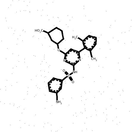 Cc1cccc(C)c1-c1cc(OC2CCCC(C(=O)O)C2)nc(NS(=O)(=O)c2cccc(N)c2)n1